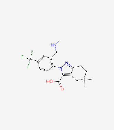 CNCc1cc(C(F)(F)F)ccc1-n1nc2c(c1C(=O)O)CC(C)(C)CC2